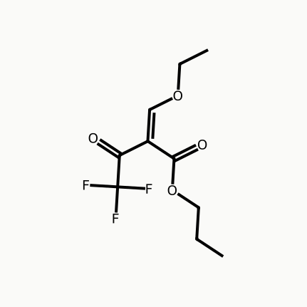 CCCOC(=O)/C(=C\OCC)C(=O)C(F)(F)F